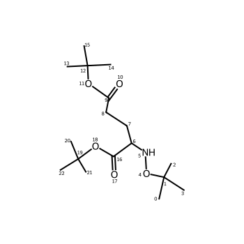 CC(C)(C)ONC(CCC(=O)OC(C)(C)C)C(=O)OC(C)(C)C